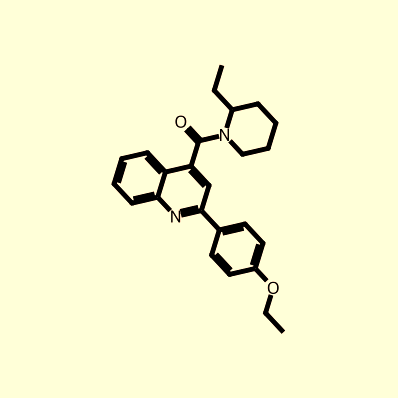 CCOc1ccc(-c2cc(C(=O)N3CCCCC3CC)c3ccccc3n2)cc1